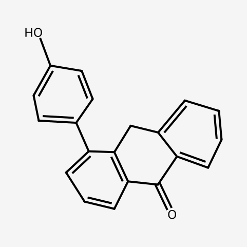 O=C1c2ccccc2Cc2c1cccc2-c1ccc(O)cc1